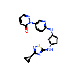 O=c1cccnn1-c1ccc(N[C@H]2CC[C@H](Nc3nc(C4CC4)ns3)C2)nc1